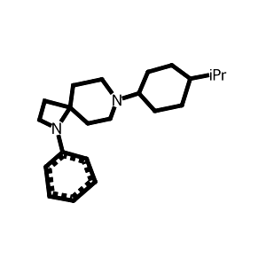 CC(C)C1CCC(N2CCC3(CC2)CCN3c2ccccc2)CC1